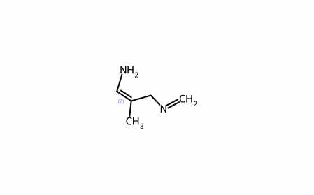 C=NC/C(C)=C\N